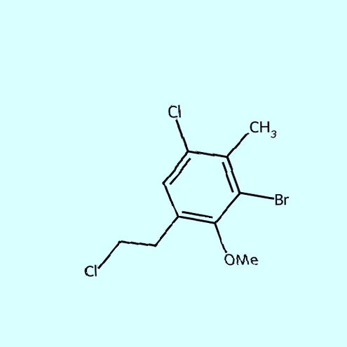 COc1c(CCCl)cc(Cl)c(C)c1Br